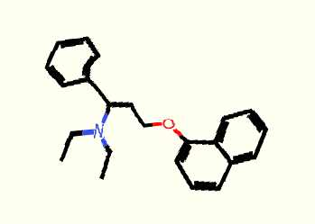 CCN(CC)C(CCOc1cccc2ccccc12)c1ccccc1